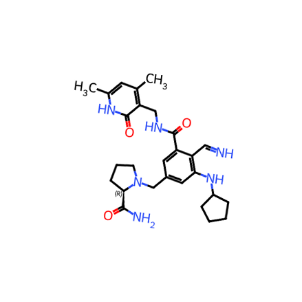 Cc1cc(C)c(CNC(=O)c2cc(CN3CCC[C@@H]3C(N)=O)cc(NC3CCCC3)c2C=N)c(=O)[nH]1